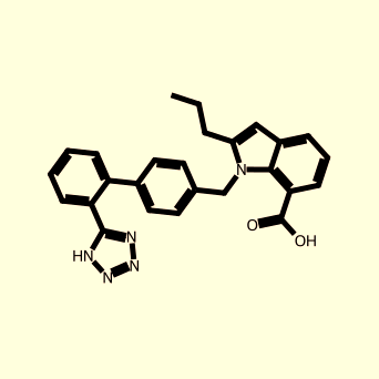 CCCc1cc2cccc(C(=O)O)c2n1Cc1ccc(-c2ccccc2-c2nnn[nH]2)cc1